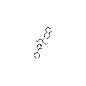 COc1c(-c2ccc3ncccc3c2)cnc2c(C)c(-c3ccccc3)nn12